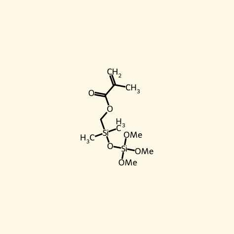 C=C(C)C(=O)OC[Si](C)(C)O[Si](OC)(OC)OC